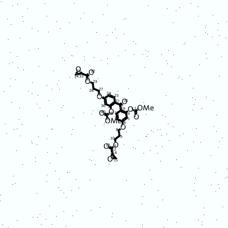 COC(=O)Oc1cc(OCCCOC(=O)C2CO2)ccc1C(=O)c1ccc(OCCCOC(=O)C2CO2)cc1OC(=O)OC